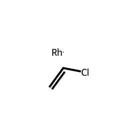 C=CCl.[Rh]